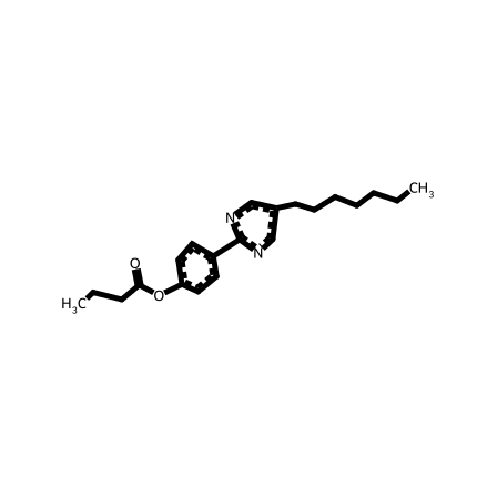 CCCCCCCc1cnc(-c2ccc(OC(=O)CCC)cc2)nc1